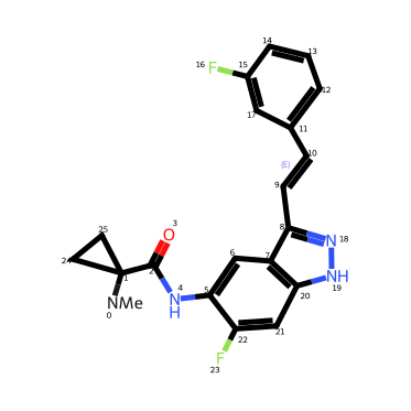 CNC1(C(=O)Nc2cc3c(/C=C/c4cccc(F)c4)n[nH]c3cc2F)CC1